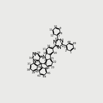 c1ccc(-c2nc(-c3ccccc3)nc(-c3ccc4c(c3)c3cccc5c3n4-c3cncnc3C5(c3ccccc3)c3ccccc3)n2)cc1